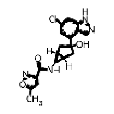 Cc1cc(C(=O)N[C@H]2[C@@H]3C[C@](O)(c4cc(Cl)cc5[nH]ncc45)C[C@@H]32)no1